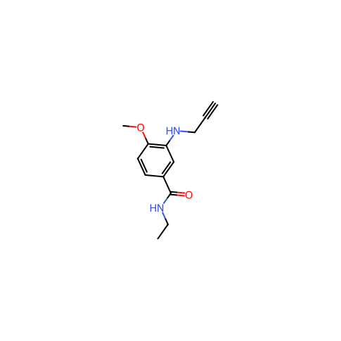 C#CCNc1cc(C(=O)NCC)ccc1OC